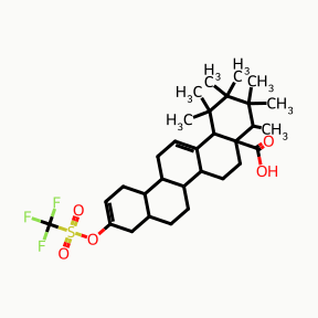 CC1C2(C(=O)O)CCC3C(=CCC4C5CC=C(OS(=O)(=O)C(F)(F)F)CC5CCC34)C2C(C)(C)C(C)(C)C1(C)C